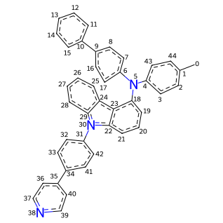 Cc1ccc(N(c2ccc(-c3ccccc3)cc2)c2cccc3c2c2ccccc2n3-c2ccc(-c3ccncc3)cc2)cc1